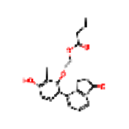 CCCC(=O)OCCOc1c(-c2cccc3c2CCC3=O)ccc(O)c1C